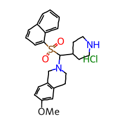 COc1ccc2c(c1)CCN(C(C1CCNCC1)S(=O)(=O)c1cccc3ccccc13)C2.Cl